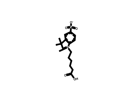 CC1=[N+](CCCCCC(=O)O)c2ccc(S(=O)(=O)[O-])cc2C1(C)C